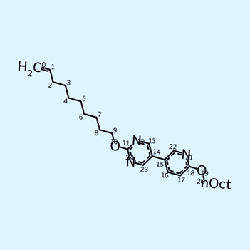 C=CCCCCCCCCOc1ncc(-c2ccc(OCCCCCCCC)nc2)cn1